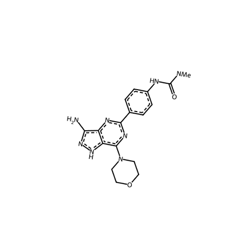 CNC(=O)Nc1ccc(-c2nc(N3CCOCC3)c3[nH]nc(N)c3n2)cc1